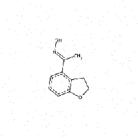 C/C(=N\O)c1cccc2c1CCO2